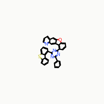 c1ccc(-c2nc(-c3cccc4oc5cc6cccnc6cc5c34)nc(-c3cccc4sc5ccccc5c34)n2)cc1